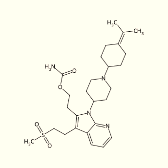 CC(C)=C1CCC(N2CCC(n3c(CCOC(N)=O)c(CCS(C)(=O)=O)c4cccnc43)CC2)CC1